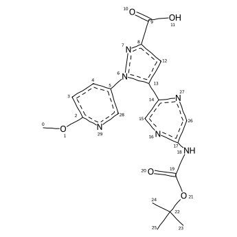 COc1ccc(-n2nc(C(=O)O)cc2-c2cnc(NC(=O)OC(C)(C)C)cn2)cn1